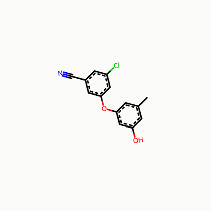 Cc1cc(O)cc(Oc2cc(Cl)cc(C#N)c2)c1